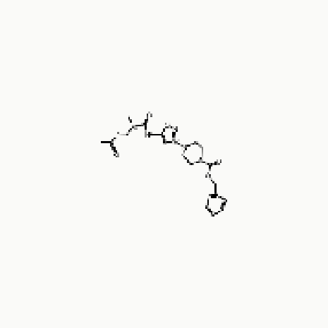 CC(=O)SC[C@@H](C)C(=O)[N-]c1c[n+](N2CCN(C(=O)OCc3ccccc3)CC2)no1